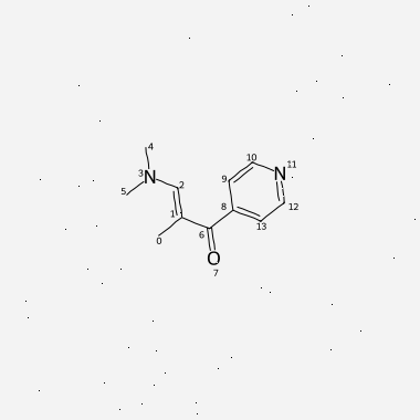 CC(=CN(C)C)C(=O)c1ccncc1